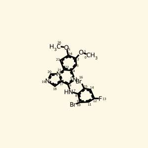 COc1cc2nc(Nc3c(Br)cc(F)cc3Br)c3cncn3c2cc1OC